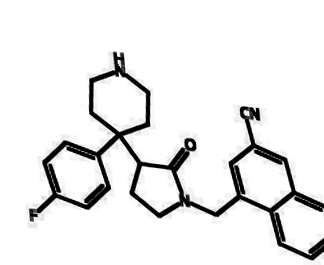 N#Cc1cc(CN2CCC(C3(c4ccc(F)cc4)CCNCC3)C2=O)c2ccccc2c1